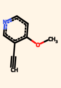 C#Cc1cnccc1OC